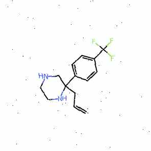 [CH]=CCC1(c2ccc(C(F)(F)F)cc2)CNCCN1